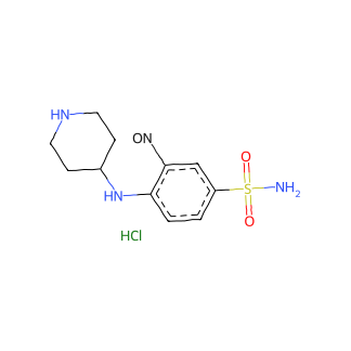 Cl.NS(=O)(=O)c1ccc(NC2CCNCC2)c(N=O)c1